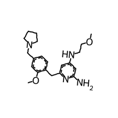 COCCNc1cc(N)nc(Cc2ccc(CN3CCCC3)cc2OC)c1